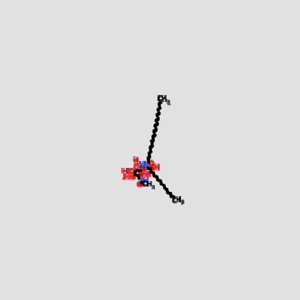 CCCCCCCC/C=C/CCCCCCCCCCCCCC(=O)N[C@@H](COC1OC(CNC(C)=O)C(O)C(O)C1O)C(O)[C@H](O)CCCCCCCCCCCCCC